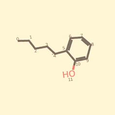 CCCC[CH]c1ccccc1O